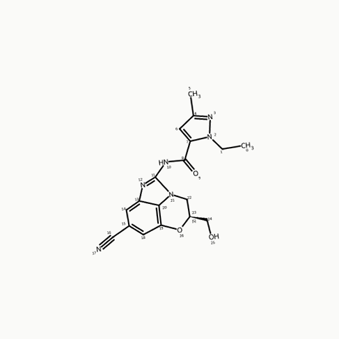 CCn1nc(C)cc1C(=O)Nc1nc2cc(C#N)cc3c2n1C[C@@H](CO)O3